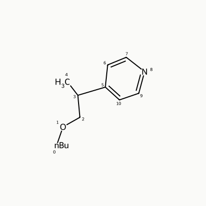 [CH2]CCCOCC(C)c1ccncc1